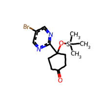 C[Si](C)(C)OC1(c2ncc(Br)cn2)CCC(=O)CC1